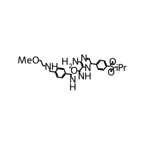 COCCNCc1ccc(C(=N)OC(=N)c2nc(-c3ccc(S(=O)(=O)C(C)C)cc3)cnc2N)cc1